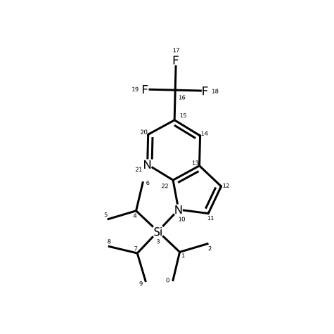 CC(C)[Si](C(C)C)(C(C)C)n1ccc2cc(C(F)(F)F)cnc21